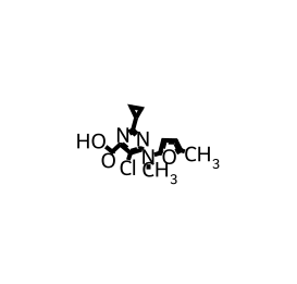 Cc1ccc(N(C)c2nc(C3CC3)nc(C(=O)O)c2Cl)o1